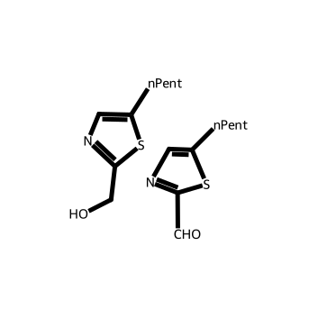 CCCCCc1cnc(C=O)s1.CCCCCc1cnc(CO)s1